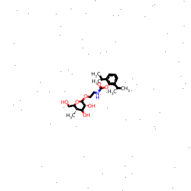 CC(C)c1cccc(C(C)C)c1OC(=O)NCCOC1OC(CO)[C@@H](C)C(O)[C@H]1O